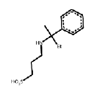 CCC(C)(NCCCS(=O)(=O)O)c1ccccc1